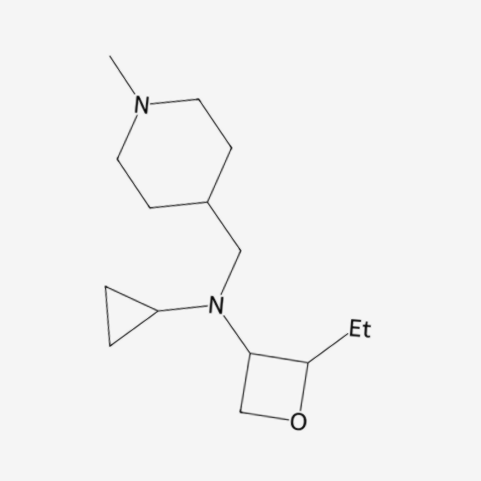 CCC1OCC1N(CC1CCN(C)CC1)C1CC1